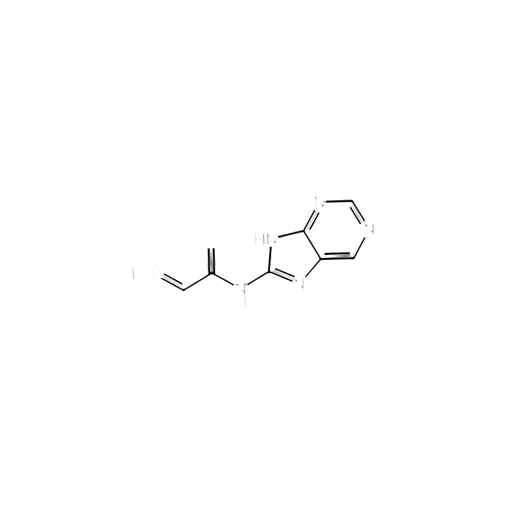 C=CC(=O)Nc1nc2cncnc2[nH]1